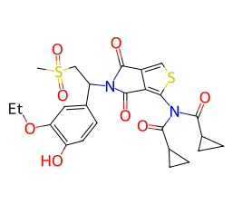 CCOc1cc(C(CS(C)(=O)=O)N2C(=O)c3csc(N(C(=O)C4CC4)C(=O)C4CC4)c3C2=O)ccc1O